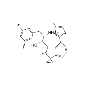 CC(=O)N[C@@H](Cc1cc(F)cc(F)c1)[C@@H](O)CNC1(c2cccc(-c3cc(C)cs3)c2)CC1